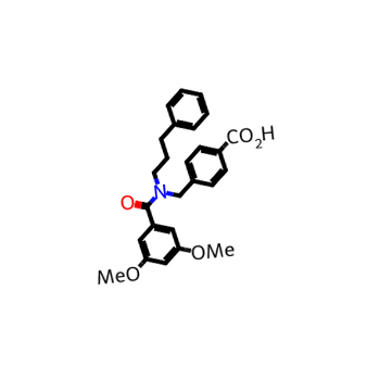 COc1cc(OC)cc(C(=O)N(CCCc2ccccc2)Cc2ccc(C(=O)O)cc2)c1